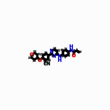 C=CC(=O)Nc1ccc(Nc2ccnc(-c3ccc(OC4CCOCC4)c(C#N)c3)n2)cc1